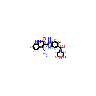 Nc1c(-c2nc3cc(C(=O)N4CCOCC4)ccc3[nH]2)c(=O)[nH]c2ccccc12